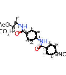 CO[C@H](C(=O)O)[C@@H](C)NC(=O)c1ccc(NC(=O)c2ccc([N+](=O)[O-])cc2)cc1